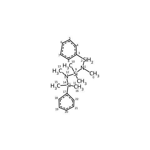 CN([SiH2]c1ccccc1)[Si](C)(C)N(C)[Si](C)(C)c1ccccc1